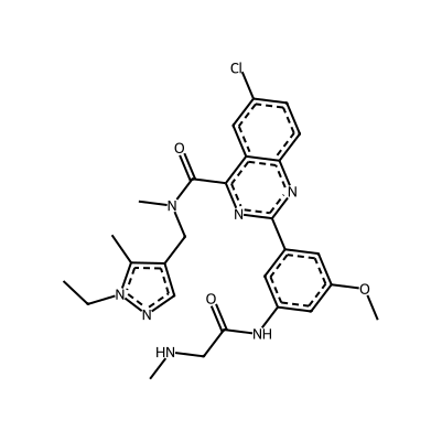 CCn1ncc(CN(C)C(=O)c2nc(-c3cc(NC(=O)CNC)cc(OC)c3)nc3ccc(Cl)cc23)c1C